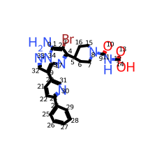 Nc1c(Br)c(C2CCN(C(=O)NC(=O)O)CC2)nc2c(-c3ccc(-c4ccccc4)nc3)cnn12